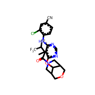 Cc1c(Nc2ccc(C#N)cc2Cl)ncnc1OC1C2COCC1CN(C(=O)CC(C(F)(F)F)C(F)(F)F)C2